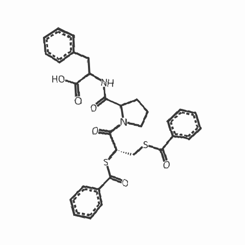 O=C(SC[C@H](SC(=O)c1ccccc1)C(=O)N1CCCC1C(=O)NC(Cc1ccccc1)C(=O)O)c1ccccc1